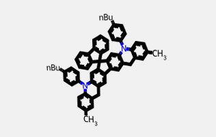 CCCCc1ccc(N2c3ccc(C)cc3Cc3cc4c(cc32)C2(c3ccccc3-c3ccccc32)c2cc3c(cc2-4)Cc2cc(C)ccc2N3c2ccc(CCCC)cc2)cc1